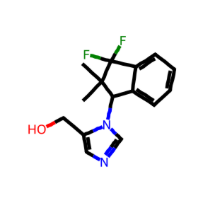 CC1(C)C(n2cncc2CO)c2ccccc2C1(F)F